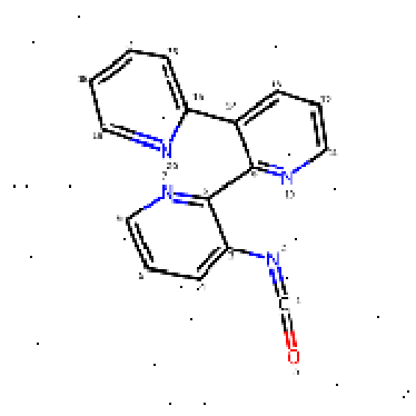 O=C=Nc1cccnc1-c1ncccc1-c1ccccn1